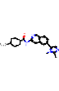 COC1CCC(C(=O)Nc2cc3cc(-c4cnc(C)n4C)ccc3cn2)CC1